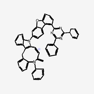 C=C1/C=C\c2c(c3ccccc3n2-c2ccc3c(c2)oc2cccc(-c4nc(-c5ccccc5)nc(C5C=CC=CC5)n4)c23)Cc2ccccc2N1c1ccccc1